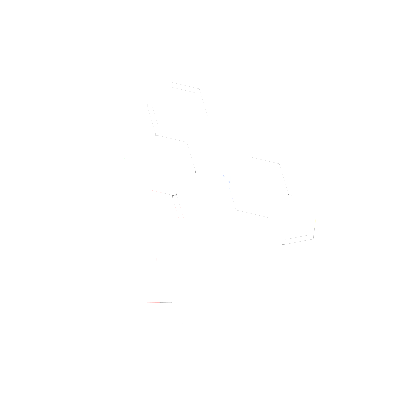 CC(C)OS(=O)(=O)O.COC(=O)[C@H](c1ccccc1Cl)N1CCc2sccc2C1